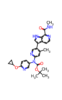 CNC(=O)c1nccc2c(-c3cnc(N(C(=O)OC(C)(C)C)c4ccc(OC5CC5)nc4)cc3C)c[nH]c12